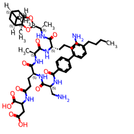 CCCCc1ccc(-c2ccc(C(=O)N[C@@H](CN)C(=O)N[C@@H](CCC(=O)NC(CC(=O)O)C(=O)O)C(=O)N[C@@H](C)C(=O)N[C@@H](CCCCN)C(=O)N[C@@H](C)B3O[C@@H]4C[C@@H]5C[C@@H](C5(C)C)[C@]4(C)O3)cc2)cc1